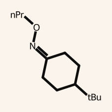 CCCON=C1CCC(C(C)(C)C)CC1